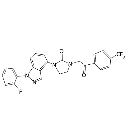 O=C(CN1CCN(c2cccc3c2cnn3-c2ccccc2F)C1=O)c1ccc(C(F)(F)F)cc1